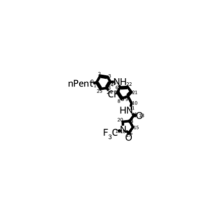 CCCCCc1ccc(Nc2ccc(CNC(=O)C3CC(=O)N(C(F)(F)F)C3)cc2)c(C)c1